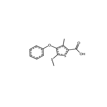 CSc1sc(C(=O)O)c(C)c1Oc1ccccc1